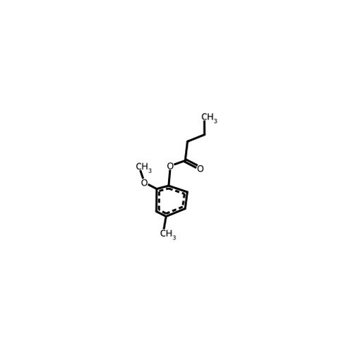 CCCC(=O)Oc1ccc(C)cc1OC